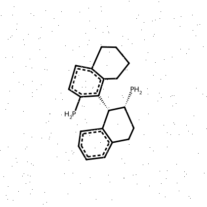 Pc1ccc2c(c1[C@H]1c3ccccc3CC[C@H]1P)CCCC2